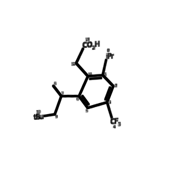 CC(C)c1cc(C(F)(F)F)cc(C(C)CC(C)(C)C)c1CC(=O)O